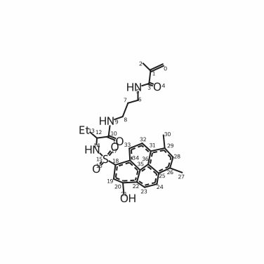 C=C(C)C(=O)NCCCNC(=O)C(CC)NS(=O)(=O)c1cc(O)c2ccc3c(C)cc(C)c4ccc1c2c34